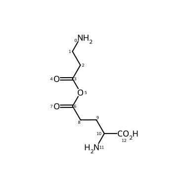 NCCC(=O)OC(=O)CCC(N)C(=O)O